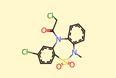 CN1c2ccccc2N(C(=O)CCl)c2cc(Cl)ccc2S1(=O)=O